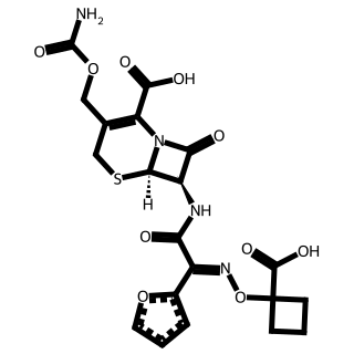 NC(=O)OCC1=C(C(=O)O)N2C(=O)[C@@H](NC(=O)C(=NOC3(C(=O)O)CCC3)c3ccco3)[C@H]2SC1